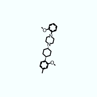 COc1ccccc1N1CCN([C@H]2CC[C@H](c3ccc(C)cc3OC)CC2)CC1